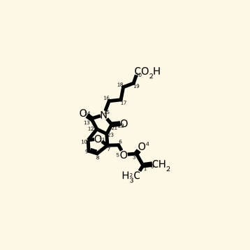 C=C(C)C(=O)OCC12C=CC(O1)C1C(=O)N(CCCCC(=O)O)C(=O)C12